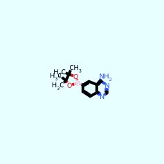 CC1(C)OB(c2ccc3ncnc(N)c3c2)OC1(C)C